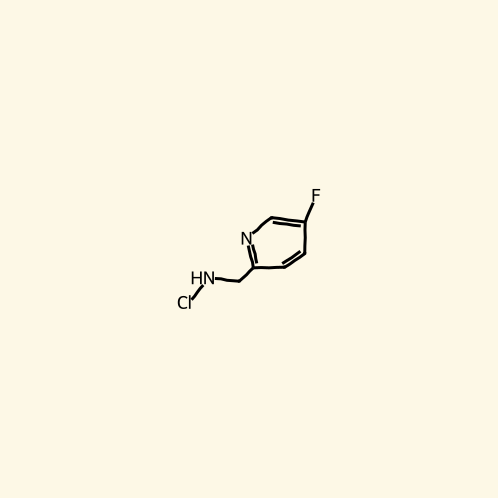 Fc1ccc(CNCl)nc1